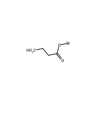 O=C(O)CCC(=O)OBr